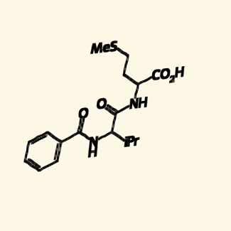 CSCCC(NC(=O)C(NC(=O)c1ccccc1)C(C)C)C(=O)O